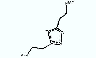 CNCCc1nnc(CCNC)[nH]1